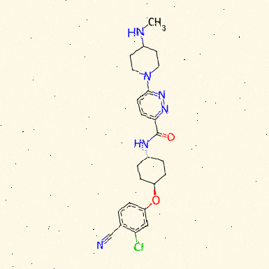 CNC1CCN(c2ccc(C(=O)N[C@H]3CC[C@H](Oc4ccc(C#N)c(Cl)c4)CC3)nn2)CC1